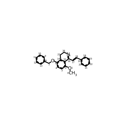 COc1ccc(OCc2ccccc2)c2c1C(/C=C/c1ccccc1)=NCC2